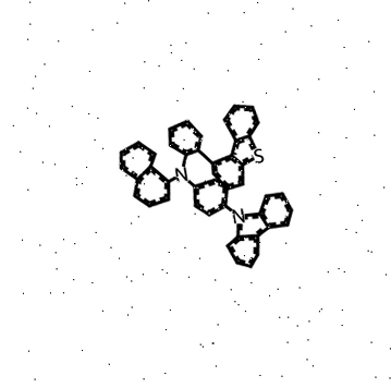 c1ccc(N(c2ccc(-n3c4ccccc4c4ccccc43)cc2)c2cccc3ccccc23)c(-c2cccc3sc4ccccc4c23)c1